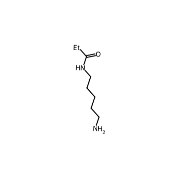 CCC(=O)NCCCCCN